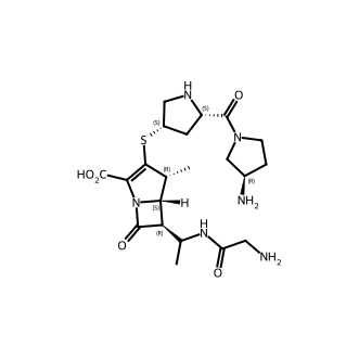 CC(NC(=O)CN)[C@H]1C(=O)N2C(C(=O)O)=C(S[C@@H]3CN[C@H](C(=O)N4CC[C@@H](N)C4)C3)[C@H](C)[C@H]12